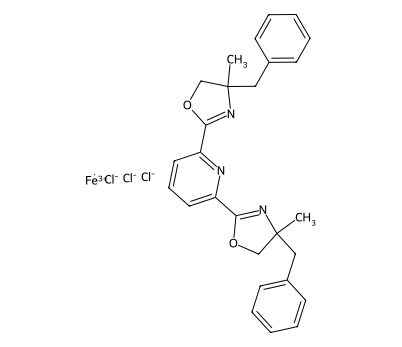 CC1(Cc2ccccc2)COC(c2cccc(C3=NC(C)(Cc4ccccc4)CO3)n2)=N1.[Cl-].[Cl-].[Cl-].[Fe+3]